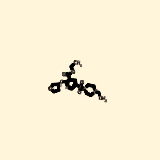 CCOC(=O)c1cc(S(=O)(=O)N2CCN(CC)CC2)cnc1O[C@H]1CCOC1